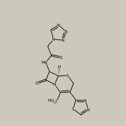 O=C(Cn1cnnn1)NC1C(=O)N2C(C(=O)O)=C(c3nncs3)CS[C@H]12